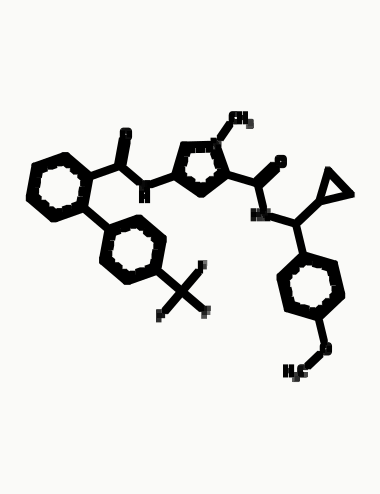 COc1ccc(C(NC(=O)c2cc(NC(=O)c3ccccc3-c3ccc(C(F)(F)F)cc3)cn2C)C2CC2)cc1